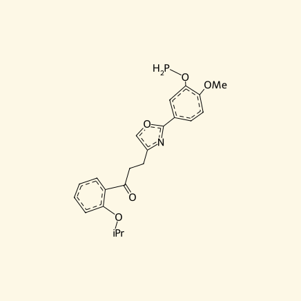 COc1ccc(-c2nc(CCC(=O)c3ccccc3OC(C)C)co2)cc1OP